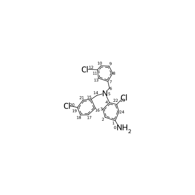 Nc1ccc(N(Cc2cccc(Cl)c2)Cc2cccc(Cl)c2)c(Cl)c1